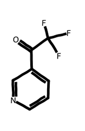 O=C(c1cccnc1)C(F)(F)F